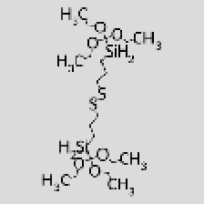 CCOC(OCC)(OCC)[SiH2]CCCSSCCC[SiH2]C(OCC)(OCC)OCC